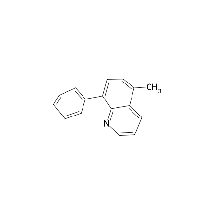 Cc1ccc(-c2ccccc2)c2ncccc12